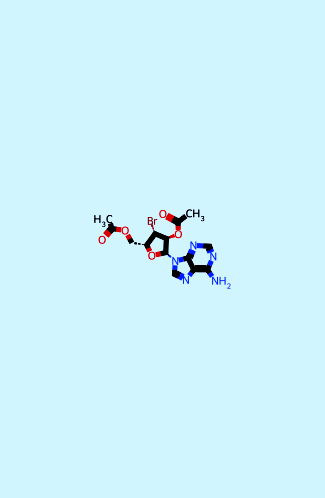 CC(=O)OC[C@H]1O[C@@H](n2cnc3c(N)ncnc32)[C@H](OC(C)=O)[C@H]1Br